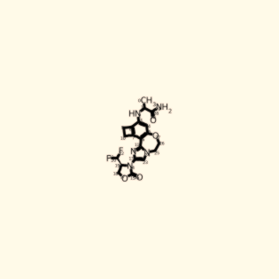 CC(Nc1cc2c(c3c1CC3)-c1nc(N3C(=O)OC[C@H]3C(F)F)cn1CCO2)C(N)=O